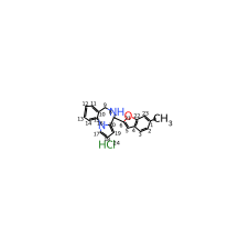 Cc1ccc2cc(C3NCc4ccccc4-n4cccc43)oc2c1.Cl